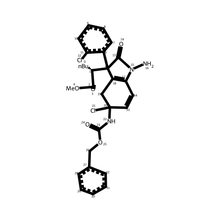 CCCC[C@@H](C(=O)OC)C1(c2ccccc2Cl)C(=O)N(N)C2=C1CC(Cl)(NC(=O)OCc1ccccc1)C=C2